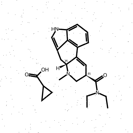 CCN(CC)C(=O)[C@@H]1C=C2c3cccc4[nH]cc(c34)C[C@H]2N(C)C1.O=C(O)C1CC1